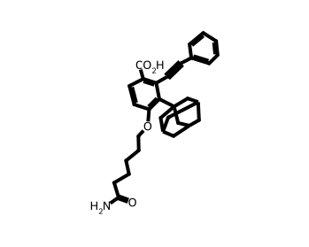 NC(=O)CCCCCOc1ccc(C(=O)O)c(C#Cc2ccccc2)c1C12CC3CC(CC(C3)C1)C2